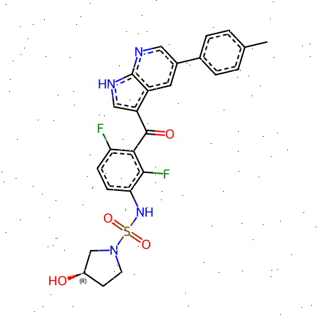 Cc1ccc(-c2cnc3[nH]cc(C(=O)c4c(F)ccc(NS(=O)(=O)N5CC[C@@H](O)C5)c4F)c3c2)cc1